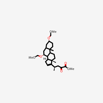 COCO[C@@H]1CCC2(C)C(C1)C[C@@H](OCOC)C1C2CC[C@]2(C)C([C@H](C)CC(=O)C(=O)OC)=CC[C@@H]12